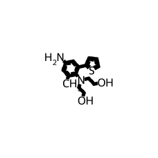 Cc1cc(N)cc(-c2cccs2)c1N(CCO)CCO